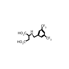 O=C(O)CC(NCc1cc(C(F)(F)F)cc(C(F)(F)F)c1)C(=O)O